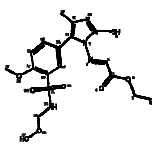 CCOC(=O)/C=N/n1c(S)nc(C)c1-c1ccc(OC)c(S(=O)(=O)NCOO)c1